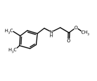 COC(=O)CNCc1ccc(C)c(C)c1